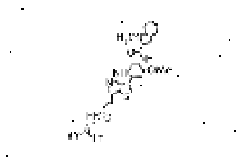 COc1cc(-c2csc3c(C=CC(=O)NCCN(C(C)C)C(C)C)cnc(N)c23)ccc1NC(=O)c1cc2ccccc2n1C